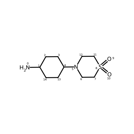 NC1CCC(N2CCS(=O)(=O)CC2)CC1